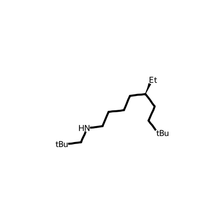 CC[C@H](CCCCNCC(C)(C)C)CCC(C)(C)C